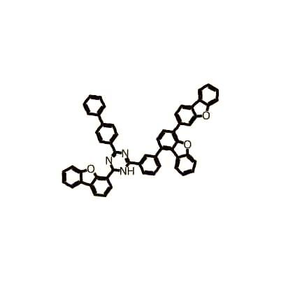 c1ccc(-c2ccc(C3=NC(c4cccc5c4oc4ccccc45)NC(c4cccc(-c5ccc(-c6ccc7c(c6)oc6ccccc67)c6oc7ccccc7c56)c4)=N3)cc2)cc1